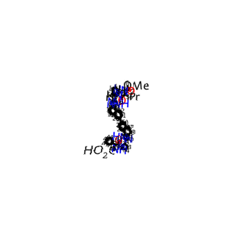 COC(=O)N[C@H](C(=O)N1[C@H]2CC[C@H](C2)[C@H]1c1nc2ccc3cc(-c4ccc5c(ccc6nc([C@@H]7CCCN7C(=O)[C@H](NC(=O)O)c7ccccc7)[nH]c65)c4)ccc3c2[nH]1)C(C)C